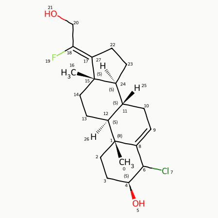 C[C@]12CC[C@H](O)C(Cl)C1=CC[C@@H]1[C@@H]2CC[C@]2(C)C(=C(F)CO)CC[C@@H]12